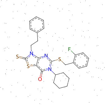 O=c1c2sc(=S)n(CCc3ccccc3)c2nc(SCc2ccccc2F)n1C1CCCCC1